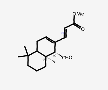 COC(=O)/C=C/C1=CCC2C(C)(C)CCC[C@]2(C)[C@H]1C=O